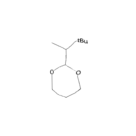 CC(C1OCCCO1)C(C)(C)C